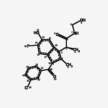 Cc1c([C@H](C)C(=O)NCO)c2cc(O)c(F)cc2n1C(=O)c1cccc(Cl)c1